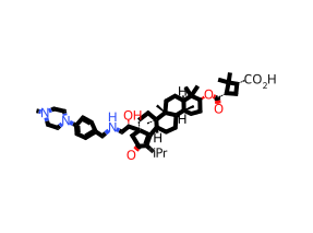 CC(C)C1=C2[C@H]3CC[C@@H]4[C@@]5(C)CC[C@H](OC(=O)[C@H]6C[C@@H](C(=O)O)C6(C)C)C(C)(C)[C@@H]5CC[C@@]4(C)[C@]3(C)CC[C@@]2([C@@H](O)CNCc2ccc(N3CCN(C)CC3)cc2)CC1=O